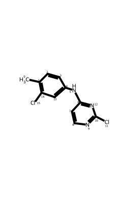 Cc1ccc(Nc2ccnc(Cl)n2)cc1Cl